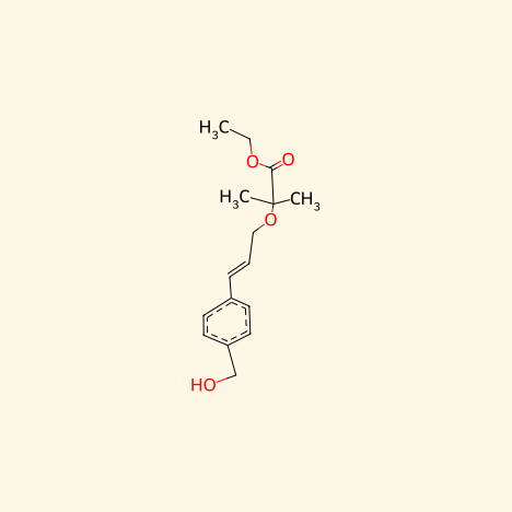 CCOC(=O)C(C)(C)OCC=Cc1ccc(CO)cc1